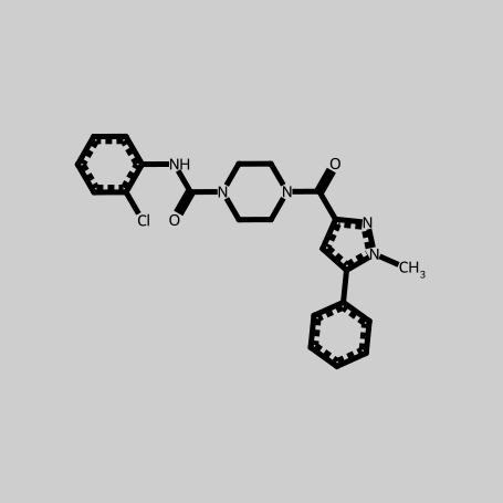 Cn1nc(C(=O)N2CCN(C(=O)Nc3ccccc3Cl)CC2)cc1-c1ccccc1